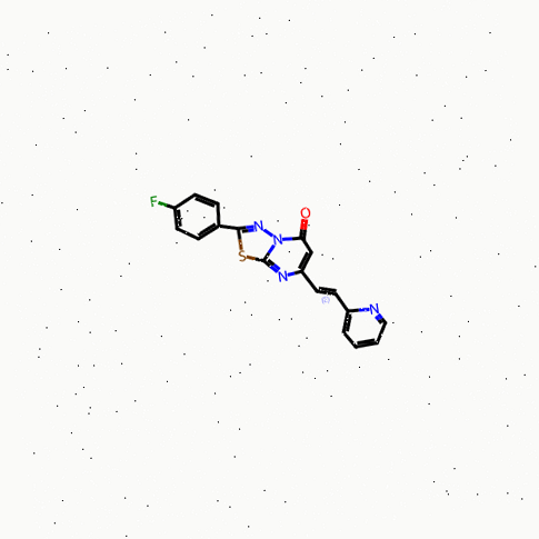 O=c1cc(/C=C/c2ccccn2)nc2sc(-c3ccc(F)cc3)nn12